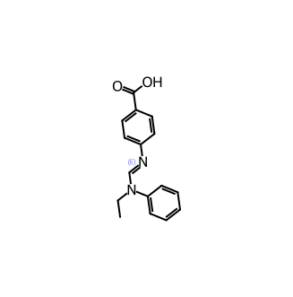 CCN(/C=N/c1ccc(C(=O)O)cc1)c1ccccc1